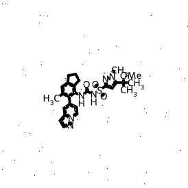 COC(C)(C)c1cc(S(=O)(=O)NC(=O)Nc2c3c(cc(C)c2-c2ccn4nccc4c2)CCC3)nn1C